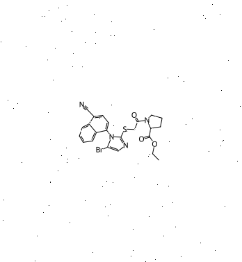 CCOC(=O)C1CCCN1C(=O)CSc1ncc(Br)n1-c1ccc(C#N)c2ccccc12